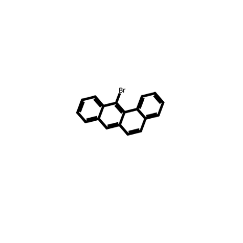 Brc1c2ccccc2cc2ccc3ccccc3c12